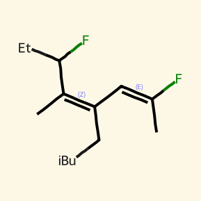 CCC(C)CC(/C=C(\C)F)=C(\C)C(F)CC